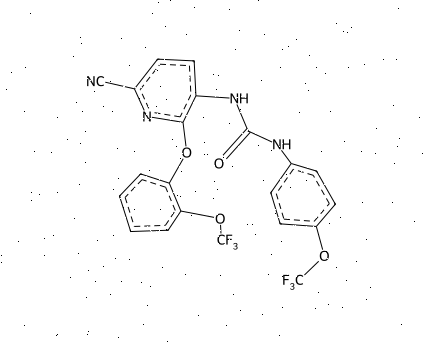 N#Cc1ccc(NC(=O)Nc2ccc(OC(F)(F)F)cc2)c(Oc2ccccc2OC(F)(F)F)n1